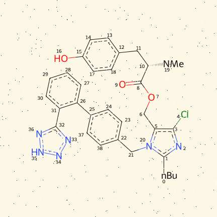 CCCCc1nc(Cl)c(COC(=O)[C@H](Cc2ccc(O)cc2)NC)n1Cc1ccc(-c2ccccc2-c2nn[nH]n2)cc1